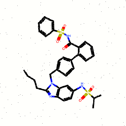 CCCCc1nc2ccc(NS(=O)(=O)C(C)C)cc2n1Cc1ccc(-c2ccccc2C(=O)NS(=O)(=O)c2ccccc2)cc1